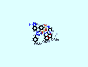 COc1ccc(CN(Cc2ccc(OC)cc2)S(=O)(=O)c2c(S(=O)(=O)N[C@@H]3CCN(C(=O)O)C3)ccc(-c3cccc4[nH]nnc34)c2-c2nnn(Cc3ccc(OC)cc3)n2)cc1